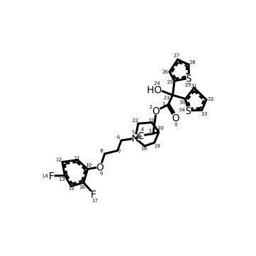 O=C(OC1C[N+]2(CCCOc3ccc(F)cc3F)CCC1CC2)C(O)(c1cccs1)c1cccs1